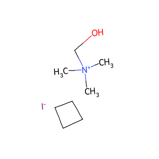 C1CCC1.C[N+](C)(C)CO.[I-]